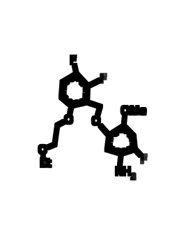 CCOCCOc1ccc(F)c(F)c1COc1cc(N)c(F)cc1OC